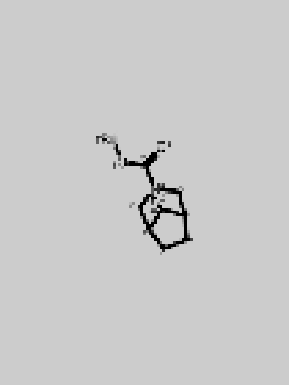 CC(C)(C)OC(=O)N1CC2CCC(C1)C2F